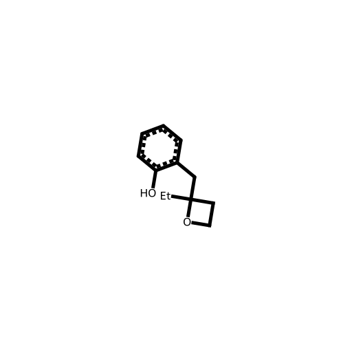 CCC1(Cc2ccccc2O)CCO1